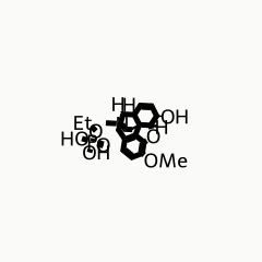 CCOP(=O)(O)O.COc1ccc2c3c1O[C@H]1[C@@H](O)C=C[C@H]4[C@@H](C2)N(C)CC[C@@]341